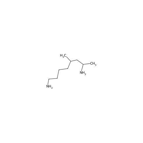 CC(N)CC(C)CCCCN